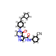 N#Cc1cccc(NC(=O)c2cnn3c2C(=O)N(c2ccc(CC4CCCC4)cc2)CC3)c1